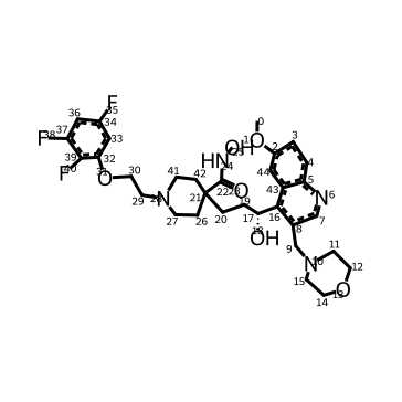 COc1ccc2ncc(CN3CCOCC3)c([C@H](O)CCC3(C(=O)NO)CCN(CCOc4cc(F)cc(F)c4F)CC3)c2c1